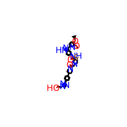 COc1nc(-c2n[nH]c3ccc(NC(=O)[C@]4(SC)CCN(CC(=O)N5CC=C(c6ccc(-c7ncn(CCO)n7)cc6)CC5)C4)cc23)ccc1OC1CC1